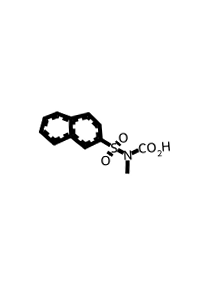 CN(C(=O)O)S(=O)(=O)c1ccc2ccccc2c1